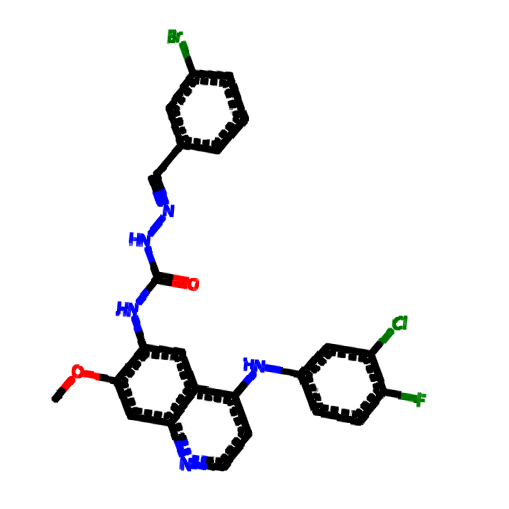 COc1cc2nccc(Nc3ccc(F)c(Cl)c3)c2cc1NC(=O)N/N=C/c1cccc(Br)c1